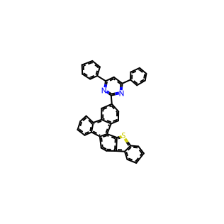 c1ccc(-c2cc(-c3ccccc3)nc(-c3ccc4c(c3)c3ccccc3c3ccc5c6ccccc6sc5c34)n2)cc1